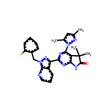 Cc1cc(C)n(-c2nc(-c3nn(Cc4ccccc4F)c4ncccc34)nc3c2C(C)(C)C(=O)N3)n1